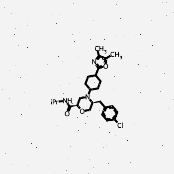 Cc1nc(C2CCC(N3C[C@H](C(=O)NC(C)C)OC[C@@H]3Cc3ccc(Cl)cc3)CC2)oc1C